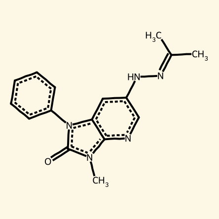 CC(C)=NNc1cnc2c(c1)n(-c1ccccc1)c(=O)n2C